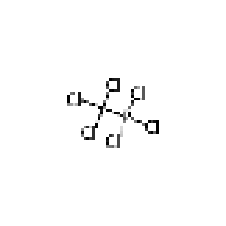 ClC(Cl)(Cl)[PH](Cl)(Cl)Cl